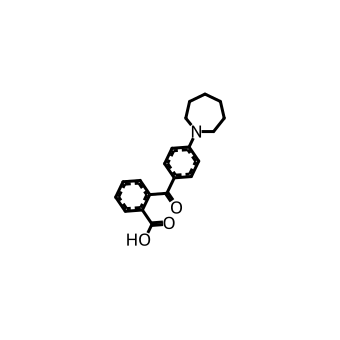 O=C(O)c1ccccc1C(=O)c1ccc(N2CCCCCC2)cc1